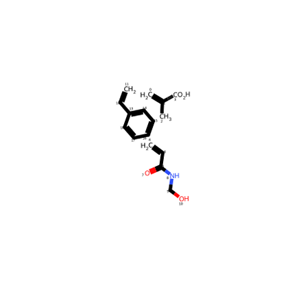 C=C(C)C(=O)O.C=CC(=O)NCO.C=Cc1ccccc1